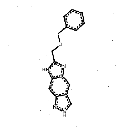 c1ccc(COCc2nc3cc4c[nH]nc4cc3[nH]2)cc1